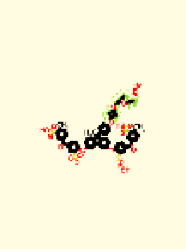 Cc1ccc(C(=O)c2ccc(Oc3ccc(C(C)(c4ccc(Oc5ccc(C(=O)c6ccc(C)c(S(=O)(=O)O)c6)cc5S(=O)(=O)O)cc4)c4ccc(OC5(F)C(F)(F)C(F)(OC(F)(F)C(F)(OC(F)(F)C(F)(F)SOOO)C(F)(F)F)C5(F)F)cc4)cc3)c(SOOO)c2)cc1S(=O)(=O)O